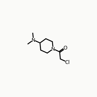 CN(C)C1CCN(C(=O)CCl)CC1